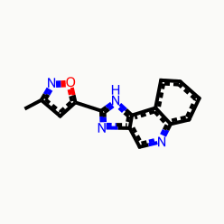 Cc1cc(-c2nc3cnc4ccccc4c3[nH]2)on1